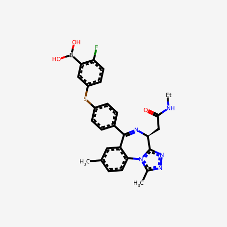 CCNC(=O)C[C@@H]1N=C(c2ccc(Sc3ccc(F)c(B(O)O)c3)cc2)c2cc(C)ccc2-n2c(C)nnc21